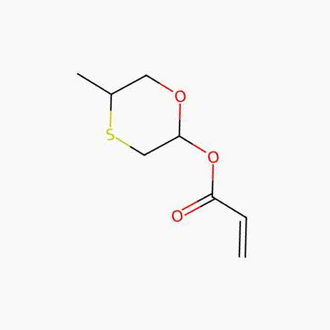 C=CC(=O)OC1CSC(C)CO1